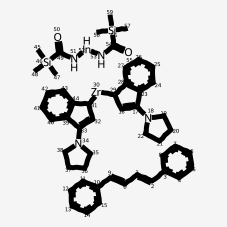 C(C=Cc1ccccc1)=Cc1ccccc1.C1=C(N2CCCC2)c2ccccc2[CH]1[Zr][CH]1C=C(N2CCCC2)c2ccccc21.C[Si](C)(C)C(=O)[NH][InH][NH]C(=O)[Si](C)(C)C